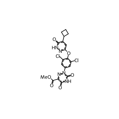 COC(=O)c1nn(-c2cc(Cl)c(Oc3cc(C4CCC4)c(=O)[nH]n3)c(Cl)c2)c(=O)[nH]c1=O